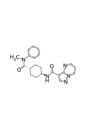 CN(c1ccccc1)C(=O)[C@H]1CC[C@H](NC(=O)c2cnn3cccnc23)CC1